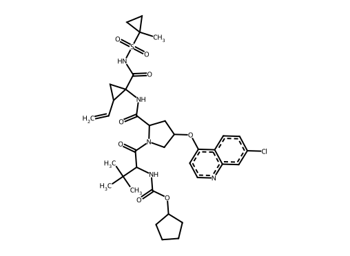 C=CC1CC1(NC(=O)C1CC(Oc2ccnc3cc(Cl)ccc23)CN1C(=O)C(NC(=O)OC1CCCC1)C(C)(C)C)C(=O)NS(=O)(=O)C1(C)CC1